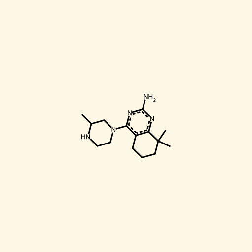 CC1CN(c2nc(N)nc3c2CCCC3(C)C)CCN1